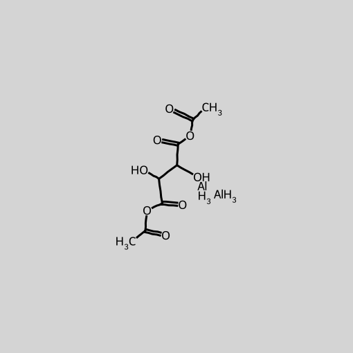 CC(=O)OC(=O)C(O)C(O)C(=O)OC(C)=O.[AlH3].[AlH3]